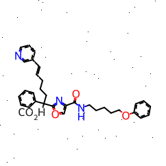 O=C(NCCCCCOc1ccccc1)c1coc(C(CCCC=Cc2cccnc2)(C(=O)O)c2ccccc2)n1